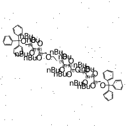 CCCCO[C@@H](OC[C@@H](OCCCC)[C@@H](OCCCC)[C@H](OCCCC)[C@@H](COC(c1ccccc1)(c1ccccc1)c1ccccc1)OCCCC)[C@H](OCCCC)[C@@H](OCCCC)[C@H](CCOC[C@@H](OCCCC)[C@@H](OCCCC)[C@H](OCCCC)[C@@H](COC(c1ccccc1)(c1ccccc1)c1ccccc1)OCCCC)OCCCC